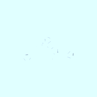 CC(C)[C@H](NC(=O)OCc1ccccc1)C(=O)N(C[C@H](O)CP(=O)(CC1CCCCC1)OCc1ccccc1)c1ccccc1